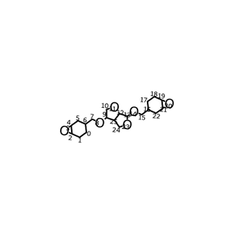 C1CC2OC2CC1COC1COC2C(OCC3CCC4OC4C3)OCC12